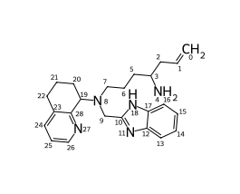 C=CCC(N)CCCN(Cc1nc2ccccc2[nH]1)C1CCCc2cccnc21